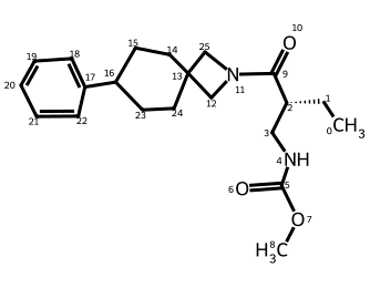 CC[C@H](CNC(=O)OC)C(=O)N1CC2(CCC(c3ccccc3)CC2)C1